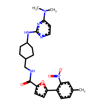 Cc1ccc(-c2ccc(C(=O)NCC3CCC(Nc4nccc(N(C)C)n4)CC3)o2)c([N+](=O)[O-])c1